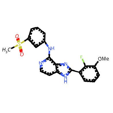 COc1cccc(-c2nc3c(Nc4cccc(S(C)(=O)=O)c4)nccc3[nH]2)c1F